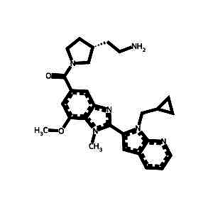 COc1cc(C(=O)N2CC[C@H](CCN)C2)cc2nc(-c3cc4cccnc4n3CC3CC3)n(C)c12